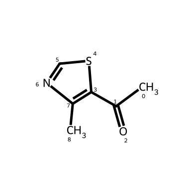 CC(=O)c1scnc1C